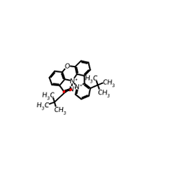 CC(C)(C)c1ccc[n+]2c1-c1cccc3c1[N+]21c2c(cccc2-c2c(C(C)(C)C)ccc[n+]21)O3